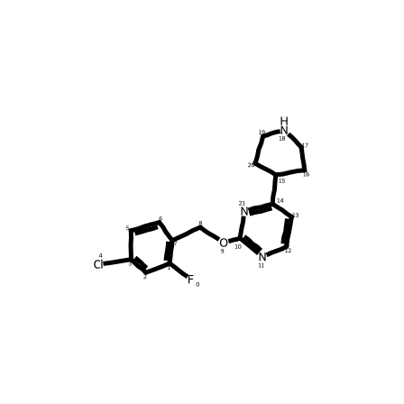 Fc1cc(Cl)ccc1COc1nccc(C2CCNCC2)n1